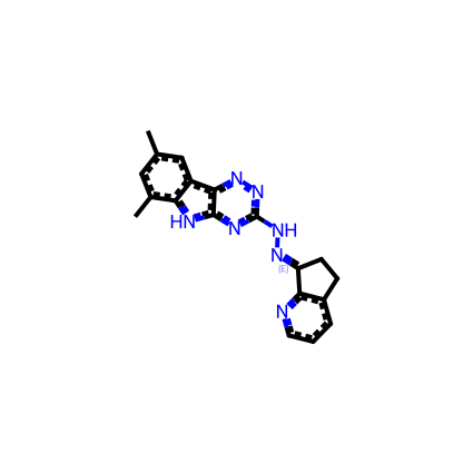 Cc1cc(C)c2[nH]c3nc(N/N=C4\CCc5cccnc54)nnc3c2c1